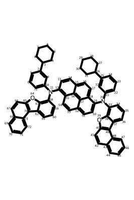 c1cc(C2CCCCC2)cc(N(c2ccc3ccc4c(N(c5cccc(C6CCCCC6)c5)c5cccc6c5oc5ccc7ccccc7c56)ccc5ccc2c3c54)c2cccc3c2oc2ccc4ccccc4c23)c1